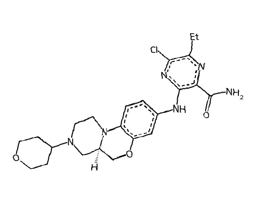 CCc1nc(C(N)=O)c(Nc2ccc3c(c2)OC[C@H]2CN(C4CCOCC4)CCN32)nc1Cl